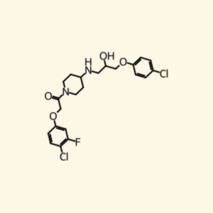 O=C(COc1ccc(Cl)c(F)c1)N1CCC(NCC(O)COc2ccc(Cl)cc2)CC1